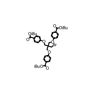 CC(C)COC(=O)c1ccc(OCC(CBr)(COc2ccc(C(=O)OCC(C)C)cc2)COc2ccc(C(=O)OCC(C)C)cc2)cc1